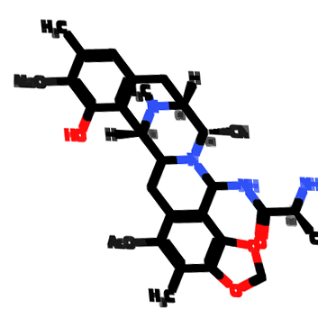 COc1c(C)cc2c(c1O)[C@H]1C3Cc4c(OC(C)=O)c(C)c5c(c4C(NC(=O)[C@H](C)N)N3[C@@H](C#N)[C@@H](C2)N1C)OCO5